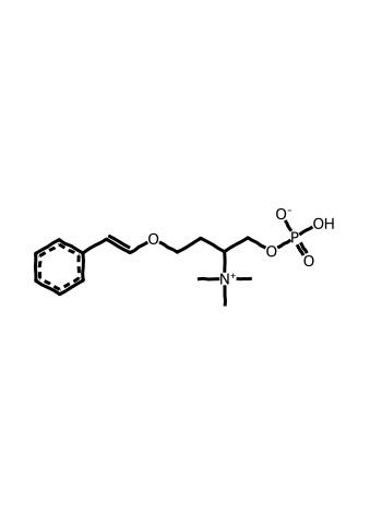 C[N+](C)(C)C(CCOC=Cc1ccccc1)COP(=O)([O-])O